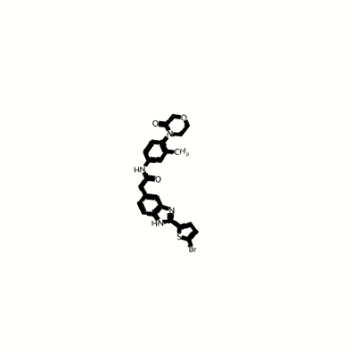 Cc1cc(NC(=O)Cc2ccc3[nH]c(-c4ccc(Br)s4)nc3c2)ccc1N1CCOCC1=O